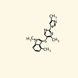 Cc1cn(-c2ncc(Sc3cn(C)c4cccc(C)c34)c(C)n2)cn1